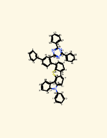 c1ccc(-c2ccc(-c3cccc4c3sc3c4ccc4c3c3ccccc3n4-c3ccccc3)c(-c3nc(-c4ccccc4)nc(-c4ccccc4)n3)c2)cc1